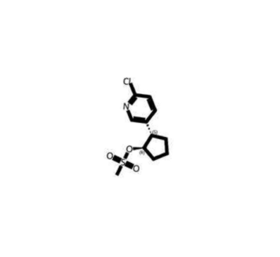 CS(=O)(=O)O[C@@H]1CCC[C@H]1c1ccc(Cl)nc1